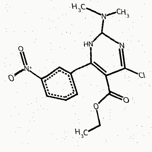 CCOC(=O)C1=C(c2cccc([N+](=O)[O-])c2)NC(N(C)C)N=C1Cl